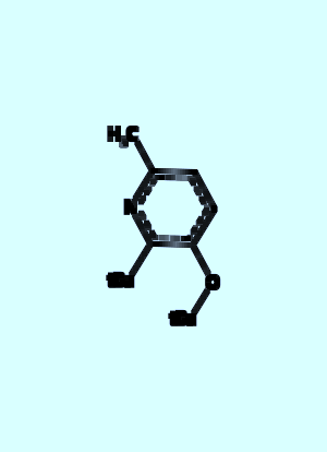 Cc1ccc(OC(C)(C)C)c(C(C)(C)C)n1